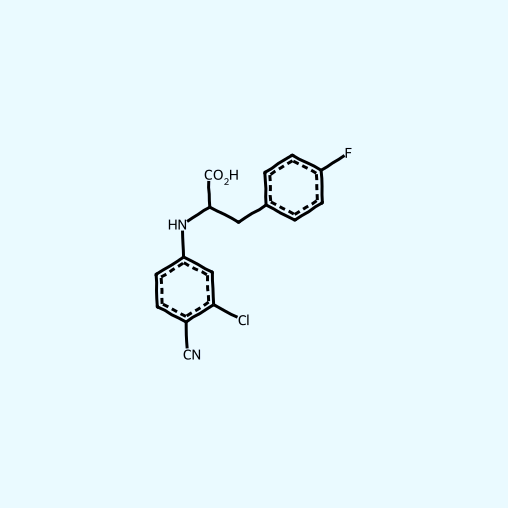 N#Cc1ccc(NC(Cc2ccc(F)cc2)C(=O)O)cc1Cl